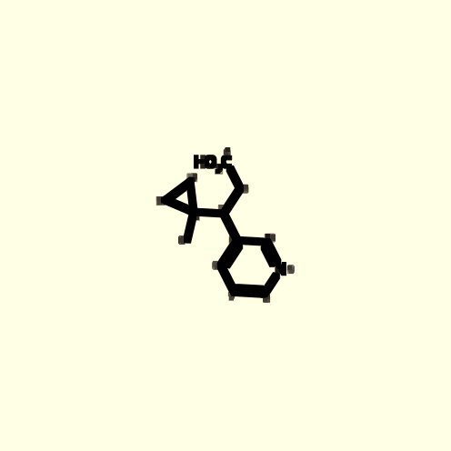 CC1(C(CC(=O)O)c2cccnc2)CC1